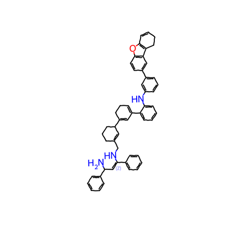 NC(/C=C(\NCC1=CC(C2=CC(c3ccccc3Nc3cccc(-c4ccc5oc6c(c5c4)CCC=C6)c3)=CCC2)CCC1)c1ccccc1)c1ccccc1